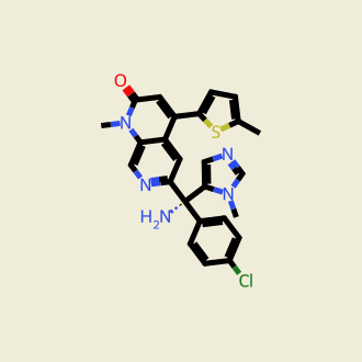 Cc1ccc(-c2cc(=O)n(C)c3cnc([C@](N)(c4ccc(Cl)cc4)c4cncn4C)cc23)s1